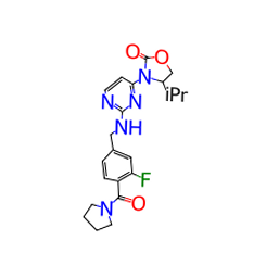 CC(C)C1COC(=O)N1c1ccnc(NCc2ccc(C(=O)N3CCCC3)c(F)c2)n1